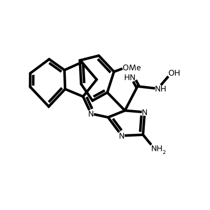 COc1ccccc1C1(C(=N)NO)N=C(N)N=C1N=C1CCc2ccccc21